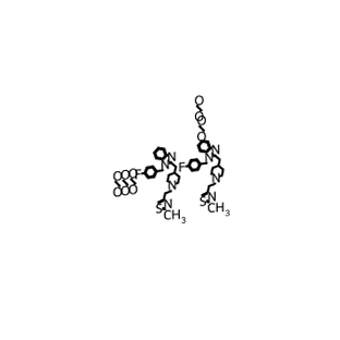 Cc1nc(CCN2CCC(Cc3nc4ccccc4n3Cc3ccc(F)cc3)CC2)cs1.Cc1nc(CCN2CCC(Cc3nc4ccccc4n3Cc3ccc(F)cc3)CC2)cs1.O=CC=O.O=CC=O.O=CC=O.O=CC=O.O=CC=O